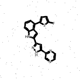 Fc1ccc(-c2cccc3[nH]c(-c4cc(-c5cnccn5)[nH]n4)cc23)s1